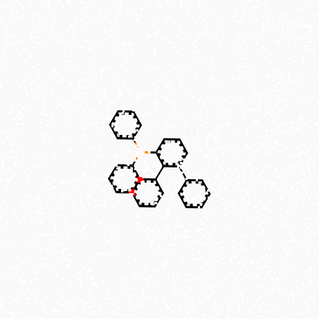 [Pd].c1ccc(-c2cccc(P(c3ccccc3)c3ccccc3)c2-c2ccccc2)cc1